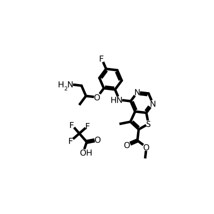 COC(=O)c1sc2ncnc(Nc3ccc(F)cc3OC(C)CN)c2c1C.O=C(O)C(F)(F)F